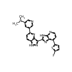 CN(C)c1cncc(-c2ccc3[nH]nc(-c4nc5c(-c6ccc(F)s6)ccnc5[nH]4)c3n2)c1